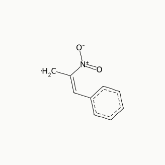 [CH2]C(=Cc1ccccc1)[N+](=O)[O-]